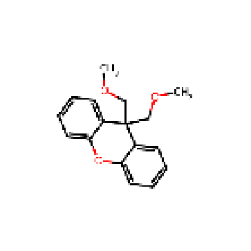 COCC1(COC)c2ccccc2Oc2ccccc21